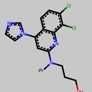 CC(C)N(CCCO)c1cc(-n2ccnc2)c2ccc(Cl)c(Cl)c2n1